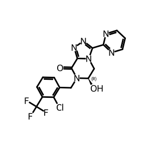 O=C1c2nnc(-c3ncccn3)n2C[C@@H](O)N1Cc1cccc(C(F)(F)F)c1Cl